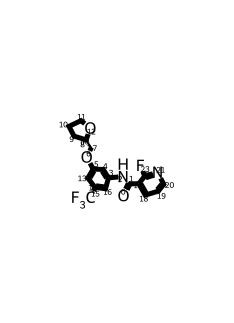 O=C(Nc1cc(OC[C@H]2CCCO2)cc(C(F)(F)F)c1)c1cccnc1F